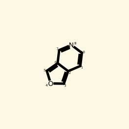 [c]1cc2cocc2cn1